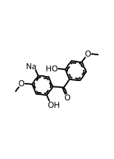 COc1ccc(C(=O)c2c[c]([Na])c(OC)cc2O)c(O)c1